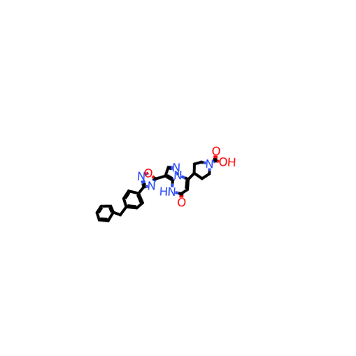 O=C(O)N1CCC(c2cc(=O)[nH]c3c(-c4nc(-c5ccc(Cc6ccccc6)cc5)no4)cnn23)CC1